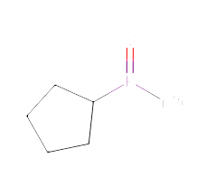 CCCC[P](=O)C1CCCC1